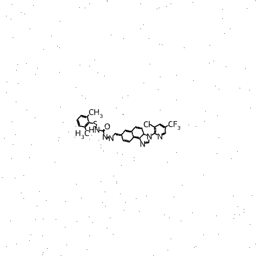 Cc1cccc(C)c1SNC(=O)/N=N\C=c1/ccc2c(c1)C=CC1C=2N=CN1c1ncc(C(F)(F)F)cc1Cl